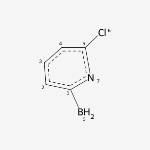 Bc1cccc(Cl)n1